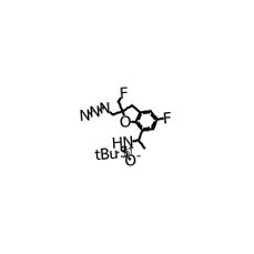 CC(N[S@+]([O-])C(C)(C)C)c1cc(F)cc2c1OC(CF)(CN=[N+]=[N-])C2